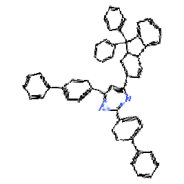 C1=CC2c3ccccc3C(c3ccccc3)(c3ccccc3)C2C=C1c1cc(-c2ccc(-c3ccccc3)cc2)nc(-c2ccc(-c3ccccc3)cc2)n1